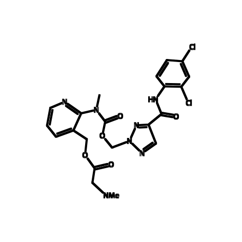 CNCC(=O)OCc1cccnc1N(C)C(=O)OCn1ncc(C(=O)Nc2ccc(Cl)cc2Cl)n1